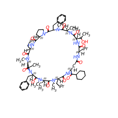 CC(C)C[C@@H]1NC(=O)[C@@H]2CCCN2C(=O)C(Cc2ccccc2)N(C)C(=O)[C@H](C)N(C)C(=O)[C@H]([C@@H](C)O)NC(=O)[C@@H](C(C)C)NC(=O)C[C@@H](C(=O)C2CCCCC2)NC(=O)[C@H](CC(C)C)N(C)C(=O)[C@H](C)N(C)C(=O)[C@H](Cc2ccccc2)N2C(=O)[C@@H](C2C)N(C)C1=O